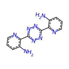 Nc1cccnc1-c1nnc(-c2ncccc2N)nn1